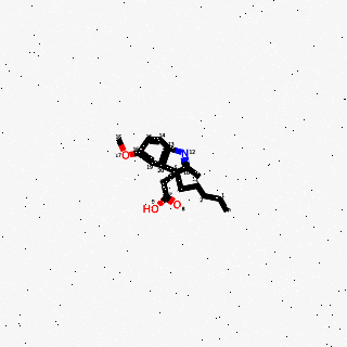 CCCCCC1(CC(=O)O)C(C)=Nc2ccc(OC)cc21